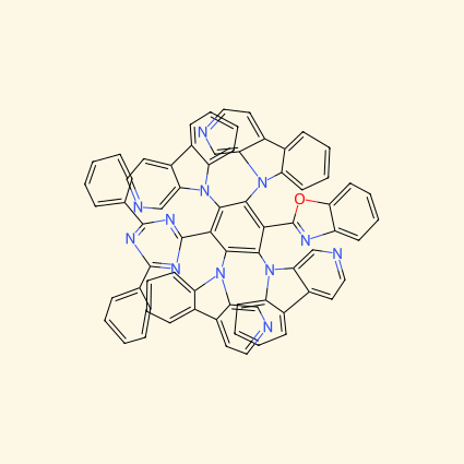 c1ccc(-c2nc(-c3ccccc3)nc(-c3c(-n4c5ccccc5c5ccncc54)c(-n4c5ccccc5c5ccncc54)c(-c4nc5ccccc5o4)c(-n4c5ccccc5c5ccncc54)c3-n3c4ccccc4c4ccncc43)n2)cc1